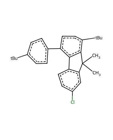 CC(C)(C)c1ccc(-c2ccc(C(C)(C)C)c3c2-c2ccc(Cl)cc2C3(C)C)cc1